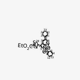 CCOC(=O)C1=NC(c2cn(S(=O)(=O)c3ccccc3)c3ncc(C4=CCCCC4)cc23)CS1